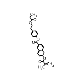 C=CC(=O)OCCc1ccc(OC(=O)C2=CC3=CC=C(OC(=O)C(=C)C)CC3C=C2)cc1